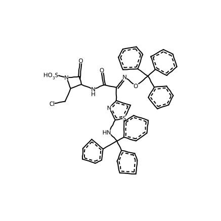 O=C(NC1C(=O)N(S(=O)(=O)O)C1CCl)C(=NOC(c1ccccc1)(c1ccccc1)c1ccccc1)c1csc(NC(c2ccccc2)(c2ccccc2)c2ccccc2)n1